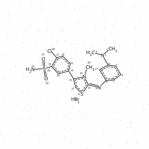 Br.CN(C)c1cccc(N=c2scc(-c3ccc(Cl)c(S(N)(=O)=O)c3)n2C)c1